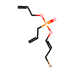 C=CCOP(=O)(CC=C)OC=CCBr